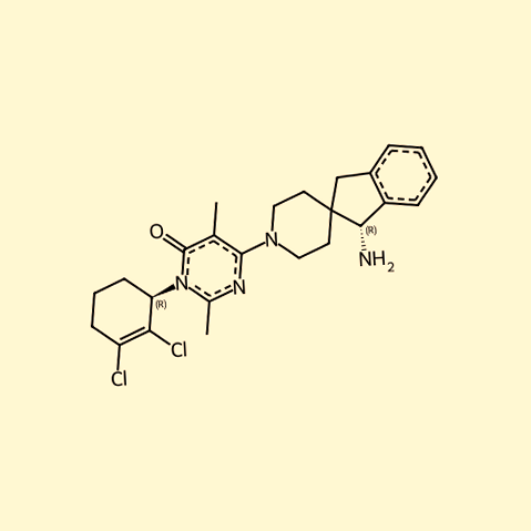 Cc1c(N2CCC3(CC2)Cc2ccccc2[C@@H]3N)nc(C)n([C@@H]2CCCC(Cl)=C2Cl)c1=O